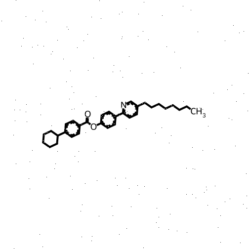 CCCCCCCCc1ccc(-c2ccc(OC(=O)c3ccc(C4CCCCC4)cc3)cc2)nc1